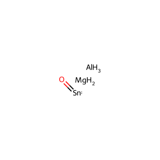 [AlH3].[MgH2].[O]=[Sn]